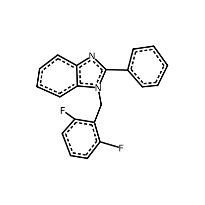 Fc1cccc(F)c1Cn1c(-c2ccccc2)nc2ccccc21